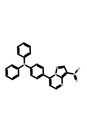 O=[N+]([O-])c1cnn2c(-c3ccc(N(c4ccccc4)c4ccccc4)cc3)ccnc12